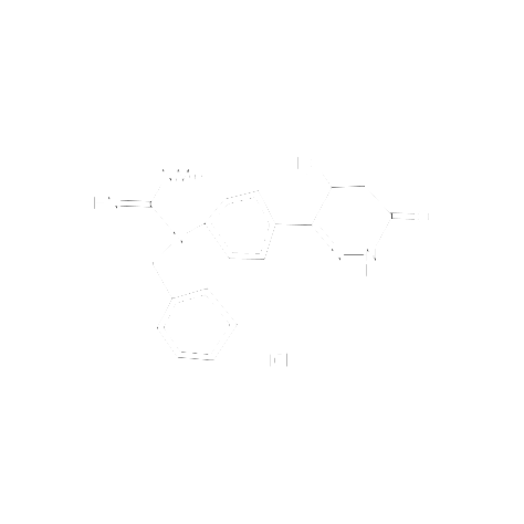 CNC(=N)N(Cc1ccccc1)c1ccc(C2=NNC(=O)CC2C)cc1.Cl